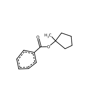 CC1(OC(=O)c2ccccc2)CCCC1